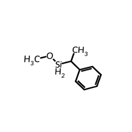 CO[SiH2]C(C)c1ccccc1